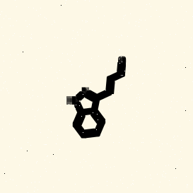 O=C/C=C/c1n[nH]c2ccccc12